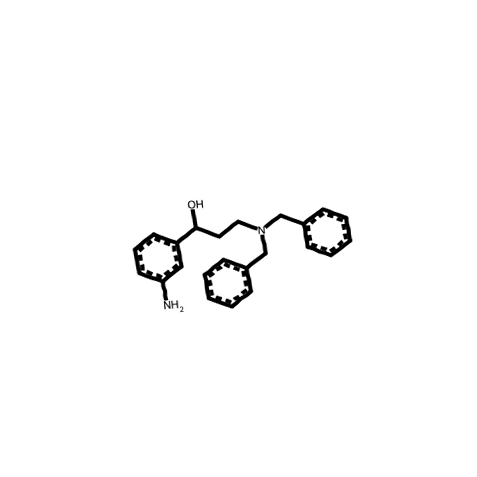 Nc1cccc(C(O)CCN(Cc2ccccc2)Cc2ccccc2)c1